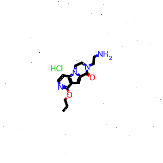 CCCOc1nccc2c1cc1n2CCN(CCN)C1=O.Cl